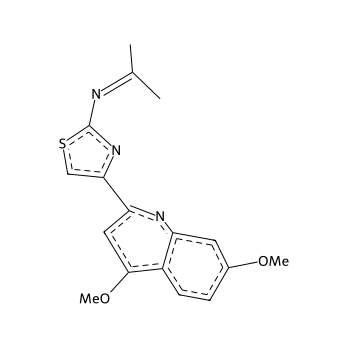 COc1ccc2c(OC)cc(-c3csc(N=C(C)C)n3)nc2c1